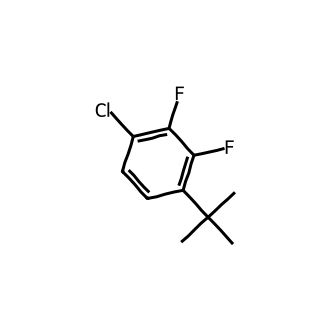 CC(C)(C)c1ccc(Cl)c(F)c1F